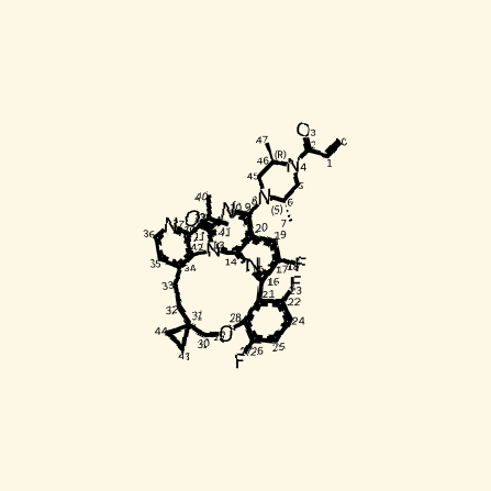 C=CC(=O)N1C[C@H](C)N(c2nc(=O)n3c4nc(c(F)cc24)-c2c(F)ccc(F)c2OCC2(CCc4ccnc(C(C)C)c4-3)CC2)C[C@H]1C